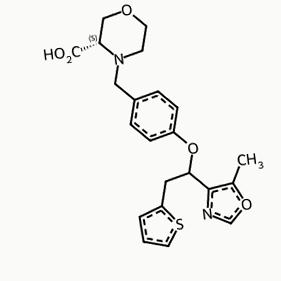 Cc1ocnc1C(Cc1cccs1)Oc1ccc(CN2CCOC[C@H]2C(=O)O)cc1